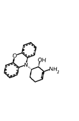 NC1=CCC[C@H](N2c3ccccc3Oc3ccccc32)[C@H]1O